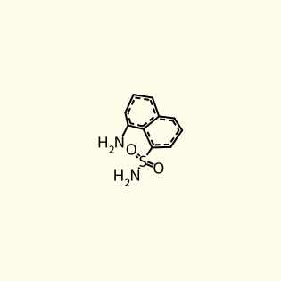 Nc1cccc2cccc(S(N)(=O)=O)c12